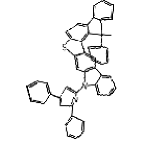 CC1(c2ccccc2)c2ccccc2-c2ccc3sc4cc5c(cc4c3c21)c1ccccc1n5-c1cc(-c2ccccc2)cc(-c2ccccc2)n1